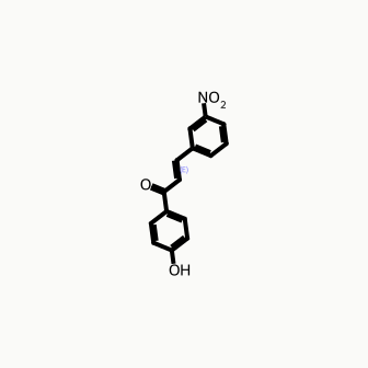 O=C(/C=C/c1cccc([N+](=O)[O-])c1)c1ccc(O)cc1